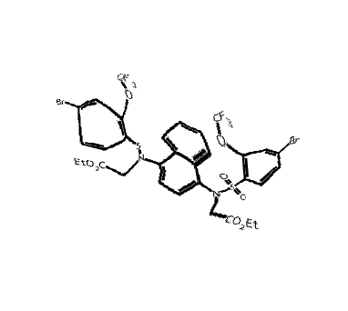 CCOC(=O)CN(Sc1ccc(Br)cc1OC(F)(F)F)c1ccc(N(CC(=O)OCC)S(=O)(=O)c2ccc(Br)cc2OC(F)(F)F)c2ccccc12